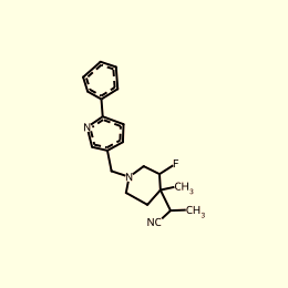 CC(C#N)C1(C)CCN(Cc2ccc(-c3ccccc3)nc2)CC1F